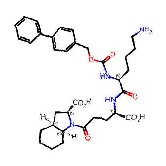 NCCCC[C@H](NC(=O)OCc1ccc(-c2ccccc2)cc1)C(=O)N[C@H](CCC(=O)N1[C@H](C(=O)O)C[C@@H]2CCCC[C@@H]21)C(=O)O